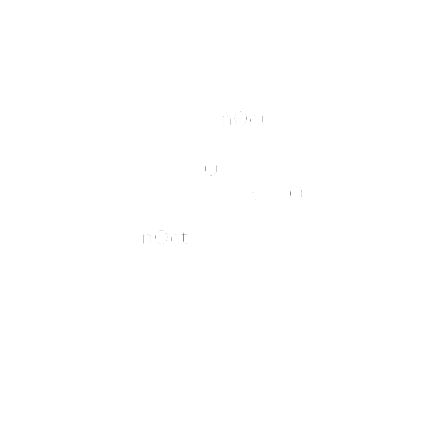 CCCCCCCCOC(=O)C1(CCCCCCCC)CCCC1